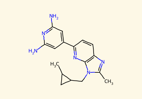 Cc1nc2ccc(-c3cc(N)nc(N)c3)nc2n1CC1CC1C